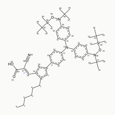 CCCCCCc1cc(-c2ccc(N(c3ccc(N(O[Si](C)(C)C(C)(C)C)C(C)(C)C)cc3)c3ccc(N(O[Si](C)(C)C(C)(C)C)C(C)(C)C)cc3)cc2)sc1/C=C(\C#N)C(=O)O